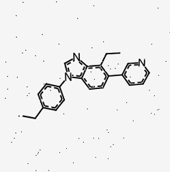 [CH2]Cc1ccc(-n2cnc3c(CC)c(-c4cccnc4)ccc32)cc1